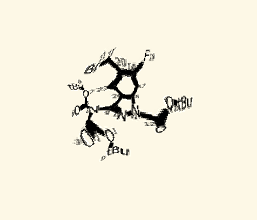 CC(C)(C)OC(=O)N(C(=O)OC(C)(C)C)c1nn(C(=O)OC(C)(C)C)c2cc(F)c(CBr)cc12